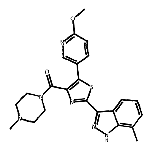 COc1ccc(-c2sc(-c3n[nH]c4c(C)cccc34)nc2C(=O)N2CCN(C)CC2)cn1